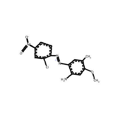 COc1cc(N)c(/N=N/c2ccc([N+](=O)[O-])cc2Cl)cc1C